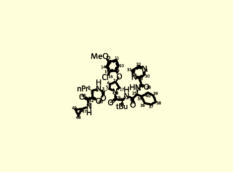 CCC[C@H](NC(=O)[C@@H]1C[C@@H](Oc2ccc(OC)cc2Cl)CN1C(=O)[C@@H](NC(=O)[C@@H](NC(=O)c1cnccn1)C1CCCCC1)C(C)(C)C)C(=O)C(=O)NC1CC1